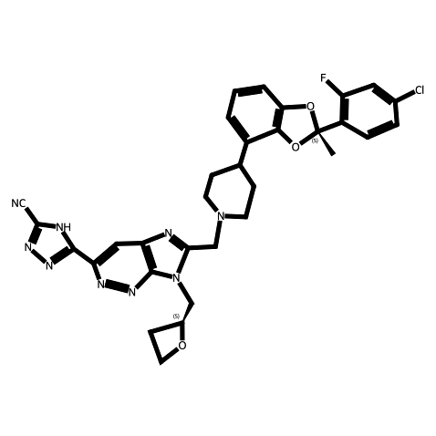 C[C@]1(c2ccc(Cl)cc2F)Oc2cccc(C3CCN(Cc4nc5cc(-c6nnc(C#N)[nH]6)nnc5n4C[C@@H]4CCO4)CC3)c2O1